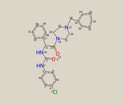 O=C(Nc1ccc(Cl)cc1)NC(C(=O)N1CCN(Cc2ccccc2)CC1)c1ccccc1